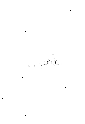 C=CC(=O)NCCNC(=O)c1ccc(C(=O)c2ccc(O)c(O)c2O)cc1